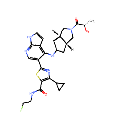 C[C@H](O)C(=O)N1C[C@H]2CC(Nc3c(-c4nc(C5CC5)c(C(=O)NCCF)s4)cnc4[nH]ccc34)C[C@H]2C1